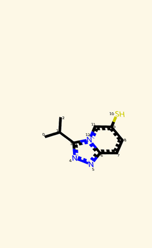 CC(C)c1nnc2ccc(S)cn12